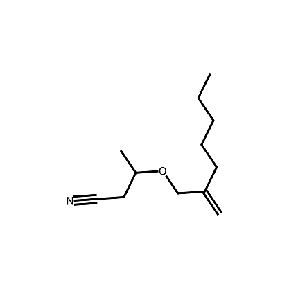 C=C(CCCCC)COC(C)CC#N